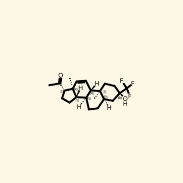 CC(=O)[C@H]1CC[C@H]2[C@@H]3CC[C@@H]4C[C@@](O)(C(F)(F)F)CC[C@]4(C)[C@H]3C=C[C@]12C